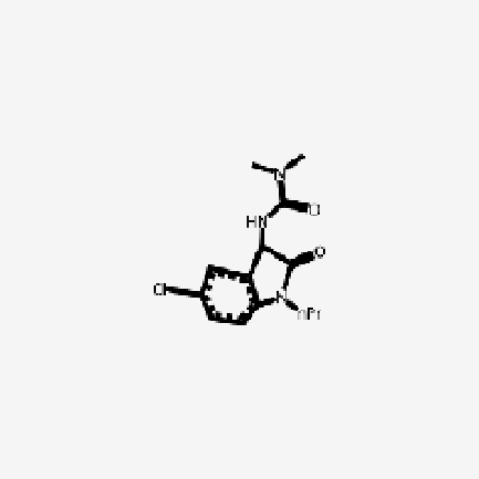 CCCN1C(=O)C(NC(=O)N(C)C)c2cc(Cl)ccc21